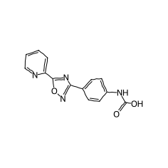 O=C(O)Nc1ccc(-c2noc(-c3ccccn3)n2)cc1